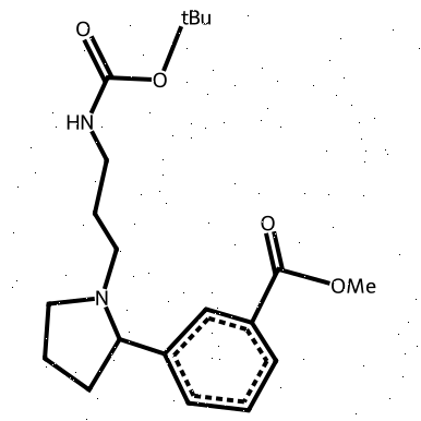 COC(=O)c1cccc(C2CCCN2CCCNC(=O)OC(C)(C)C)c1